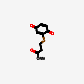 COC(=O)CCSC1=CC(=O)C=CC1=O